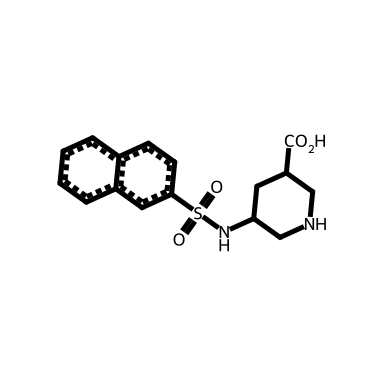 O=C(O)C1CNCC(NS(=O)(=O)c2ccc3ccccc3c2)C1